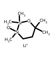 CC1(C)CC[Si](C)([O-])[Si](C)(C)O1.[Li+]